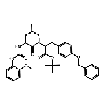 COc1ccccc1NC(=O)NC(CC(C)C)C(=O)NC(Cc1ccc(OCc2ccccc2)cc1)C(=O)OC(C)(C)C